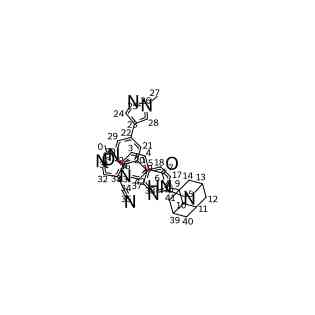 COc1ccc(C(=O)NC23CC4CC(C2)N(c2ccc(-c5cc(-c6cnn(C)c6)cn6ncc(C#N)c56)cn2)C(C4)C3)cn1